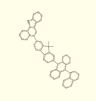 CC1(C)c2cc(-c3c4ccccc4c(-c4cccc5ccccc45)c4ccccc34)ccc2-c2ccc(-c3cc4c5ccccc5sc4c4ccccc34)cc21